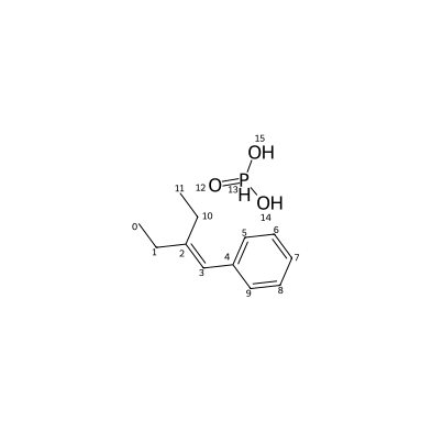 CCC(=Cc1ccccc1)CC.O=[PH](O)O